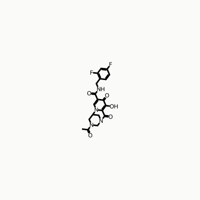 CC(=O)N1CC2CN(C1)C(=O)c1c(O)c(=O)c(C(=O)NCc3ccc(F)cc3F)cn12